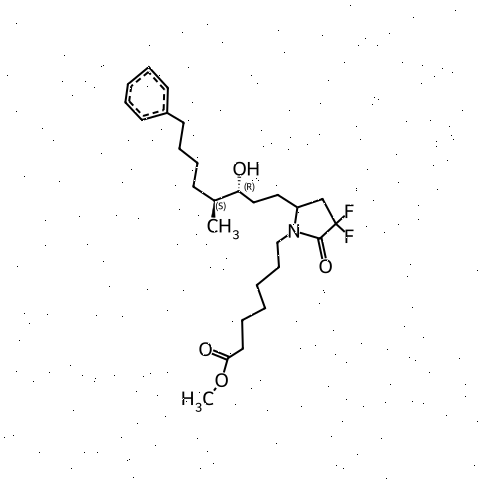 COC(=O)CCCCCCN1C(=O)C(F)(F)CC1CC[C@@H](O)[C@@H](C)CCCCc1ccccc1